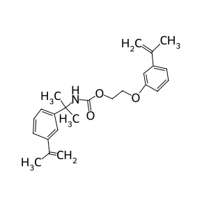 C=C(C)c1cccc(OCCOC(=O)NC(C)(C)c2cccc(C(=C)C)c2)c1